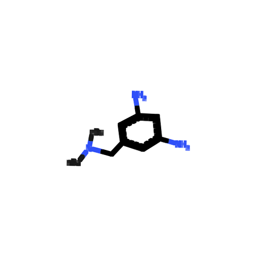 CCCCN(CCCC)Cc1cc(N)cc(N)c1